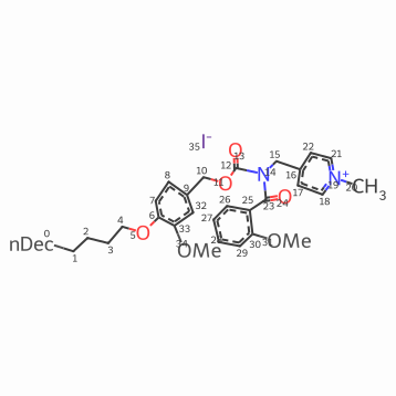 CCCCCCCCCCCCCCOc1ccc(COC(=O)N(Cc2cc[n+](C)cc2)C(=O)c2ccccc2OC)cc1OC.[I-]